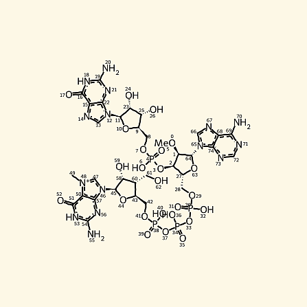 CO[C@@H]1[C@H](OP(=O)(O)OC[C@H]2O[C@@H](n3cnc4c(=O)[nH]c(N)nc43)[C@H](O)[C@@H]2O)[C@@H](COP(=O)(O)OP(=O)(O)OP(=O)(O)OC[C@H]2O[C@@H](n3c[n+](C)c4c(=O)[nH]c(N)nc43)[C@H](O)[C@@H]2CO)O[C@H]1n1cnc2c(N)ncnc21